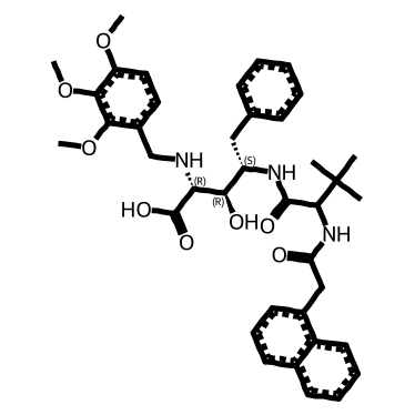 COc1ccc(CN[C@@H](C(=O)O)[C@H](O)[C@H](Cc2ccccc2)NC(=O)C(NC(=O)Cc2cccc3ccccc23)C(C)(C)C)c(OC)c1OC